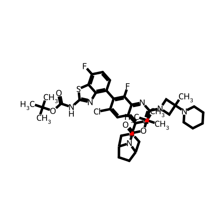 CC(C)(C)OC(=O)Nc1nc2c(-c3c(Cl)cc4c(N5CC6CCC(C5)N6C(=O)OC(C)(C)C)nc(N5CC(C)(N6CCCCC6)C5)nc4c3F)ccc(F)c2s1